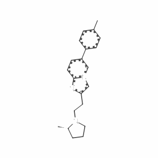 Cc1ccc(-c2ccc3nc(CCN4CCC[C@H]4C)cn3c2)cc1